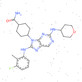 Cc1c(F)cccc1Nc1nc2cnc(NC3CCOCC3)nc2n1C1CCC(C(N)=O)CC1